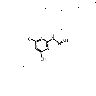 Cc1cc(Cl)nc(NN=N)n1